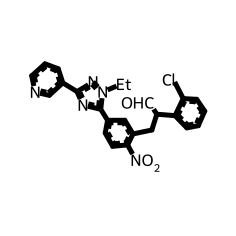 CCn1nc(-c2cccnc2)nc1-c1ccc([N+](=O)[O-])c(CC(C=O)c2ccccc2Cl)c1